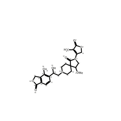 COC1CN(C2=C(C)C(=O)OC2)C(=O)C12CCN(CC(O)c1ccc3c(c1C)COC3=O)CC2